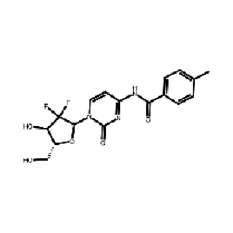 Cc1ccc(C(=O)Nc2ccn(C3O[C@H](CO)[C@@H](O)C3(F)F)c(=O)n2)cc1